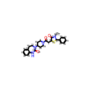 CC(C)N1C(=O)C(CC(=O)N2CCC(N3CCc4ccccc4NC3=O)CC2)SC1c1ccccc1